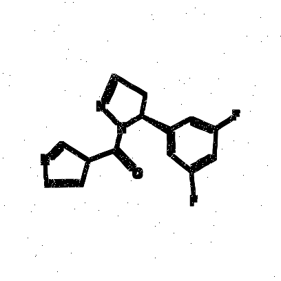 O=C(C1C=CN=C1)N1N=CC[C@H]1c1cc(F)cc(F)c1